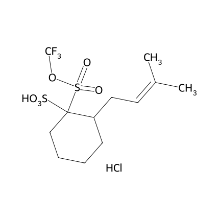 CC(C)=CCC1CCCCC1(S(=O)(=O)O)S(=O)(=O)OC(F)(F)F.Cl